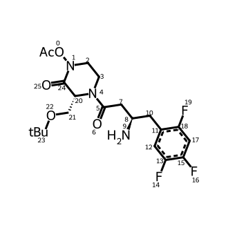 CC(=O)ON1CCN(C(=O)C[C@H](N)Cc2cc(F)c(F)cc2F)[C@H](COC(C)(C)C)C1=O